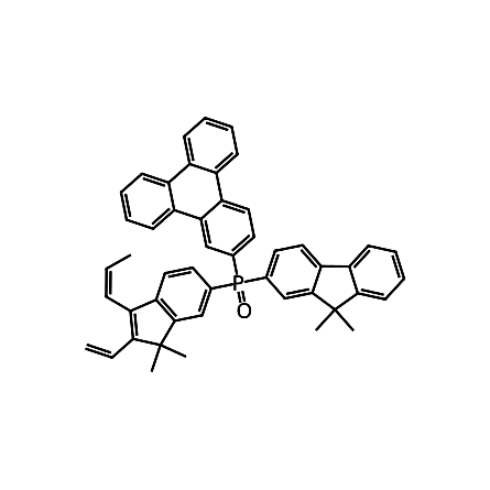 C=CC1=C(/C=C\C)c2ccc(P(=O)(c3ccc4c(c3)C(C)(C)c3ccccc3-4)c3ccc4c5ccccc5c5ccccc5c4c3)cc2C1(C)C